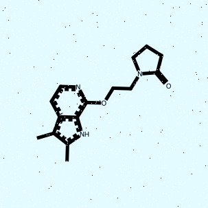 Cc1[nH]c2c(OCCN3CCCC3=O)nccc2c1C